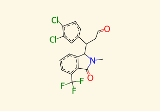 CN1C(=O)c2c(cccc2C(F)(F)F)C1C(CC=O)c1ccc(Cl)c(Cl)c1